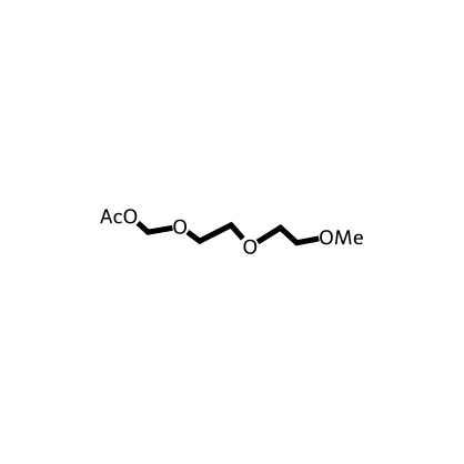 COCCOCCOCOC(C)=O